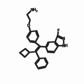 NCCOc1ccc(C(=C(c2ccccc2)C2CCC2)c2ccc3[nH]nc(F)c3c2)cc1